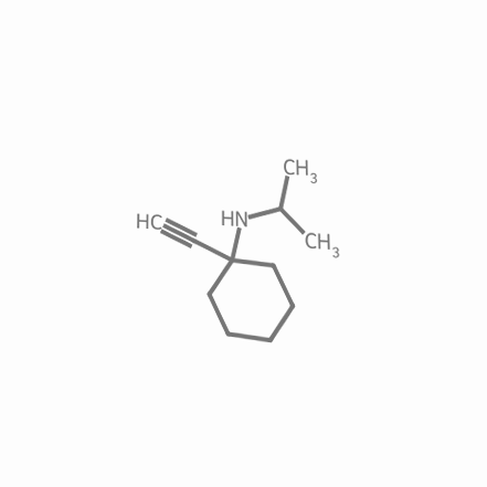 C#CC1(NC(C)C)CCCCC1